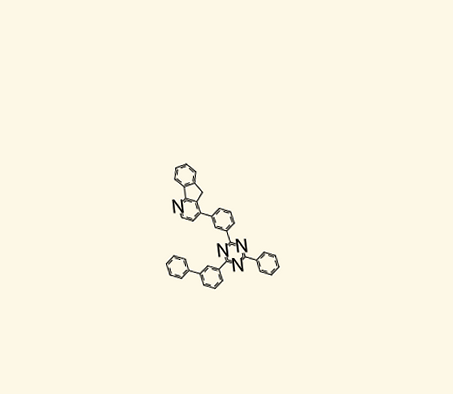 c1ccc(-c2cccc(-c3nc(-c4ccccc4)nc(-c4cccc(-c5ccnc6c5Cc5ccccc5-6)c4)n3)c2)cc1